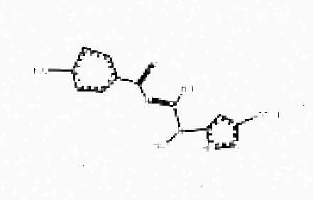 CC(C)(C)N(/C(N)=N/C(=O)c1ccc(C(F)(F)F)cc1)c1cc(C(=O)O)n[nH]1